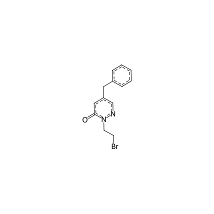 O=c1cc(Cc2ccccc2)cnn1CCBr